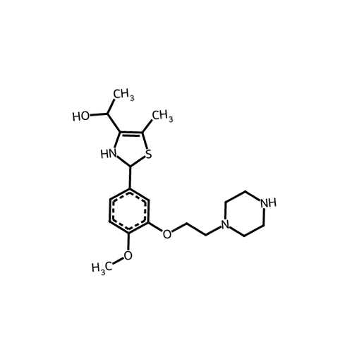 COc1ccc(C2NC(C(C)O)=C(C)S2)cc1OCCN1CCNCC1